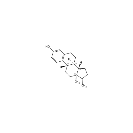 CC1CC[C@H]2[C@@H]3CCc4cc(O)ccc4[C@H]3CC[C@]12C